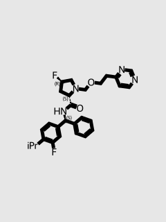 CC(C)c1ccc([C@@H](NC(=O)[C@@H]2C[C@@H](F)CN2COCCc2ccncn2)c2ccccc2)cc1F